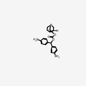 Bc1ccc(C(OC(=O)O[C@H]2CN3CCC2CC3)c2ccc(B)cc2)cc1